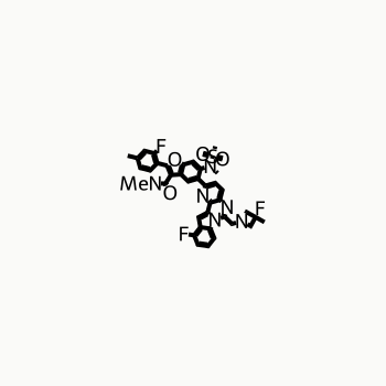 CNC(=O)c1c(-c2ccc(C)cc2F)oc2cc(N(C)S(C)(=O)=O)c(-c3ccc4nc(CN5CC(C)(F)C5)n5c6cccc(F)c6cc5c4n3)cc12